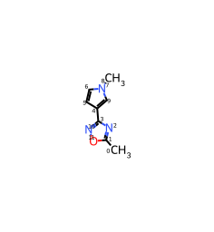 Cc1nc(-c2ccn(C)c2)no1